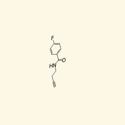 C#CCCNC(=O)c1ccc(F)cc1